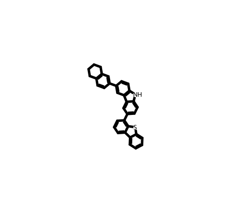 c1ccc2c(c1)sc1c(-c3ccc4[nH]c5ccc(-c6ccc7c(c6)CCCC7)cc5c4c3)cccc12